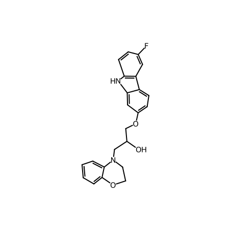 OC(COc1ccc2c(c1)[nH]c1ccc(F)cc12)CN1CCOc2ccccc21